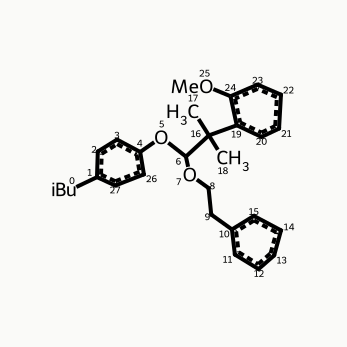 CCC(C)c1ccc(OC(OCCc2ccccc2)C(C)(C)c2ccccc2OC)cc1